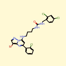 O=C(NCCCCNc1cc(-c2ccccc2Cl)nc2c(Br)cnn12)NCc1ccc(Cl)cc1Cl